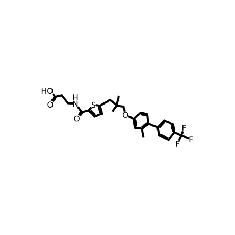 Cc1cc(OCC(C)(C)Cc2ccc(C(=O)NCCC(=O)O)s2)ccc1-c1ccc(C(F)(F)F)cc1